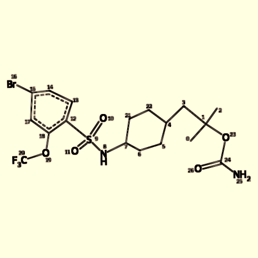 CC(C)(CC1CCC(NS(=O)(=O)c2ccc(Br)cc2OC(F)(F)F)CC1)OC(N)=O